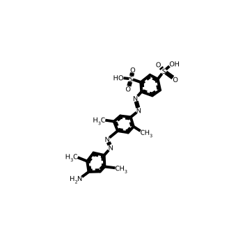 Cc1cc(/N=N/c2cc(C)c(/N=N/c3ccc(S(=O)(=O)O)cc3S(=O)(=O)O)cc2C)c(C)cc1N